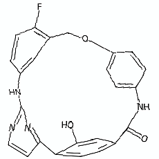 O=C1Nc2ccc(cc2)OCc2cc(ccc2F)Nc2nccc(n2)-c2ccc1cc2O